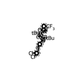 CC(C)(C)OC(=O)C(CCn1nnc2c(C(F)(F)F)cccc2c1=O)(CC(=O)c1ccc(OCc2ccc(Cl)c(Cl)c2)cc1)C(=O)OC(C)(C)C